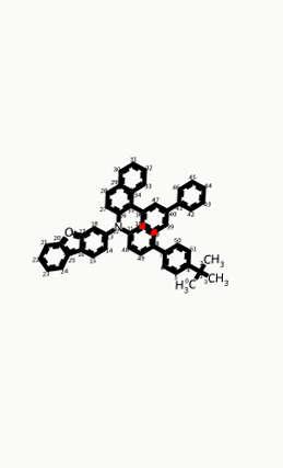 CC(C)(C)c1ccc(-c2ccc(N(c3ccc4c(c3)oc3ccccc34)c3ccc4ccccc4c3-c3cccc(-c4ccccc4)c3)cc2)cc1